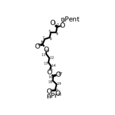 CCCCCOC(=O)CCCCC(=O)OCCCCOC(=O)CCC(=O)OCCC